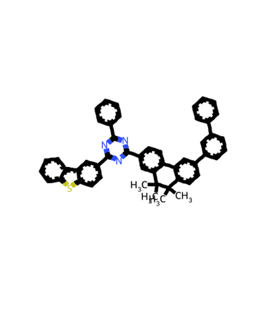 CC1(C)c2ccc(-c3cccc(-c4ccccc4)c3)cc2-c2ccc(-c3nc(-c4ccccc4)nc(-c4ccc5sc6ccccc6c5c4)n3)cc2C1(C)C